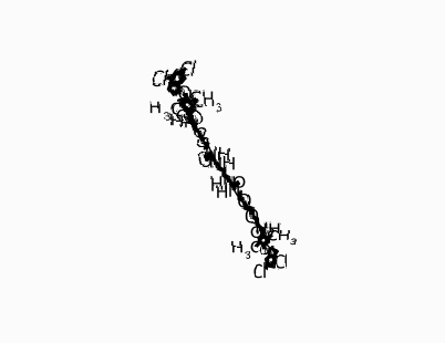 Cc1cc(S(=O)(=O)NCCOCCOCCNC(=O)NCCCCNC(=O)NCCOCCOCCNS(=O)(=O)c2cc(C)c(O[C@@H]3CCc4c(Cl)cc(Cl)cc43)cc2C)c(C)cc1O[C@@H]1CCc2c(Cl)cc(Cl)cc21